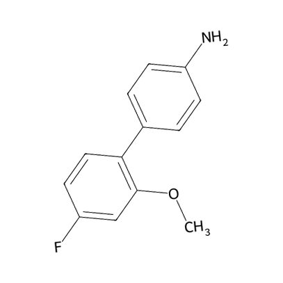 COc1cc(F)ccc1-c1ccc(N)cc1